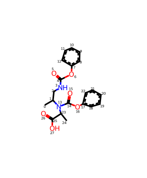 CC(CNC(=O)Oc1ccccc1)N(C(=O)Oc1ccccc1)C(C)C(=O)O